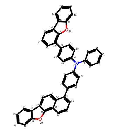 c1ccc(N(c2ccc(-c3cccc4c3ccc3c5ccccc5oc43)cc2)c2ccc(-c3cccc4c3oc3ccccc34)cc2)cc1